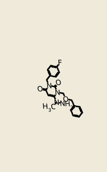 CN(N)c1cc(=O)n(Cc2ccc(F)cc2)c(=O)n1COCc1ccccc1